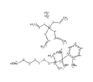 C=CC[N+](CC=C)(CC=C)CC=C.CCCCCCCCCCCCCCCC[N+](C)(C)C(CCCC)(CCCC)c1ccccc1CCCC.[OH-].[OH-]